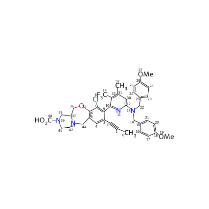 CC#Cc1cc2c(c(Cl)c1-c1nc(N(Cc3ccc(OC)cc3)Cc3ccc(OC)cc3)cc(C)c1C(F)(F)F)OCC1CN(C(=O)O)CCN1C2